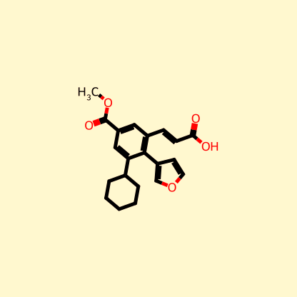 COC(=O)c1cc(C=CC(=O)O)c(-c2ccoc2)c(C2CCCCC2)c1